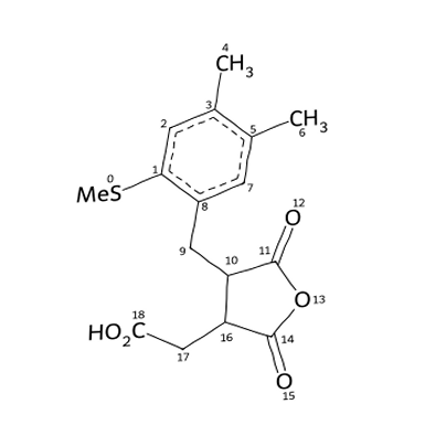 CSc1cc(C)c(C)cc1CC1C(=O)OC(=O)C1CC(=O)O